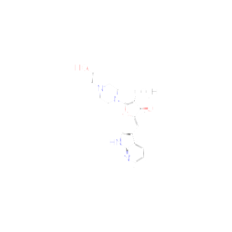 O=C(O)C1=C(N2CCN(CCO)CC2)O/C(=C\c2c[nH]c3ncccc23)C1=O